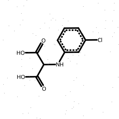 O=C(O)C(Nc1cccc(Cl)c1)C(=O)O